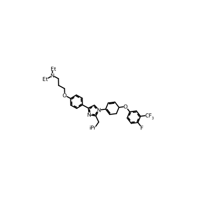 CCN(CC)CCCOc1ccc(-c2cn(C3=CCC(Oc4ccc(F)c(C(F)(F)F)c4)C=C3)c(CC(C)C)n2)cc1